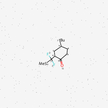 CSC(F)(F)C1CC(C(C)(C)C)CCC1=O